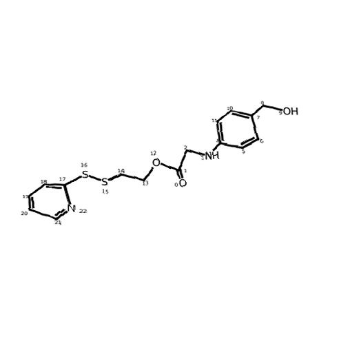 O=C(CNc1ccc(CO)cc1)OCCSSc1ccccn1